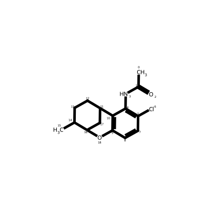 CC(=O)Nc1c(Cl)ccc2c1C1CCC(C)C(C1)O2